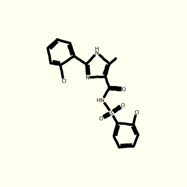 Cc1[nH]c(-c2ccccc2Cl)nc1C(=O)NS(=O)(=O)c1ccccc1Cl